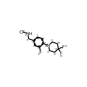 Fc1cc(CNCl)ccc1N1CCC(F)(F)CC1